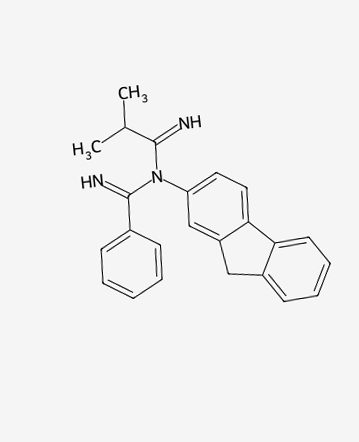 CC(C)C(=N)N(C(=N)c1ccccc1)c1ccc2c(c1)Cc1ccccc1-2